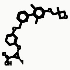 Cc1cc(OCC2(C)COC2)cc(C)c1-c1cccc(COC2=CCCC(O[C@@H]3[C@H](I)[C@H]3C(=O)O)=C2)c1